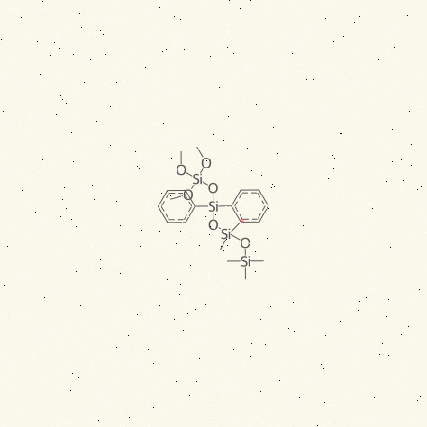 CO[Si](OC)(OC)O[Si](O[Si](C)(C)O[Si](C)(C)C)(c1ccccc1)c1ccccc1